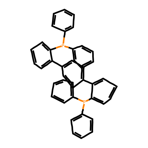 c1ccc(P(c2ccccc2)c2ccccc2-c2ccc(-c3ccccc3P(c3ccccc3)c3ccccc3)cc2)cc1